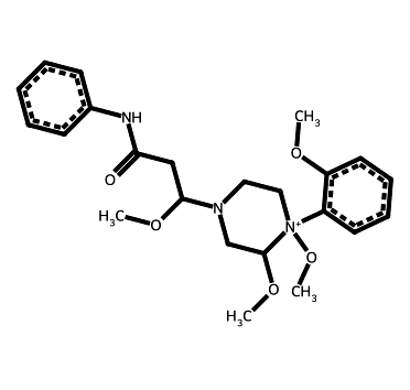 COc1ccccc1[N+]1(OC)CCN(C(CC(=O)Nc2ccccc2)OC)CC1OC